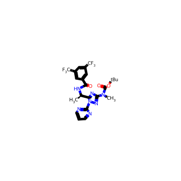 C[C@@H](NC(=O)c1cc(C(F)(F)F)cc(C(F)(F)F)c1)c1nc(N(C)C(=O)OC(C)(C)C)nn1-c1ncccn1